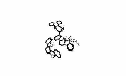 CC1(C)c2ccccc2-c2ccc(-c3cc(-c4cnc5c6ccccc6c6ccccc6c5n4)cc(-c4cccc5c4oc4c5ccc5oc6ccccc6c54)c3)cc21